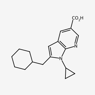 O=C(O)c1cnc2c(c1)cc(CC1CCCCC1)n2C1CC1